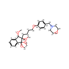 COC1c2ccccc2C(OC)(OC)C1(CCCCOc1ccc(CN2CCOCC2)cc1)OC